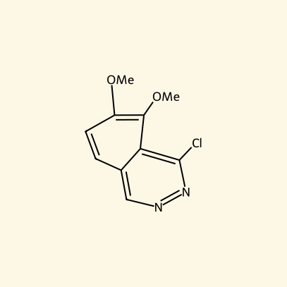 COc1ccc2cnnc(Cl)c2c1OC